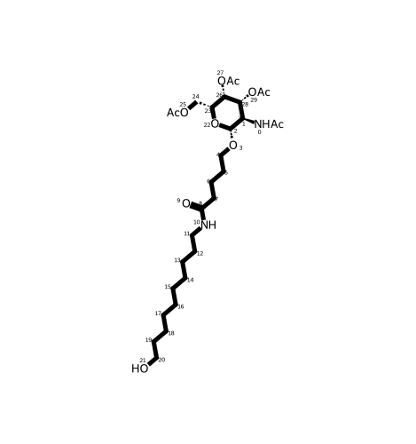 CC(=O)N[C@H]1[C@H](OCCCCC(=O)NCCCCCCCCCCO)O[C@H](COC(C)=O)[C@H](OC(C)=O)[C@@H]1OC(C)=O